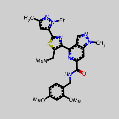 CCn1nc(C)cc1-c1nc(-c2nc(C(=O)NCc3ccc(OC)cc3OC)cc3c2cnn3C)c(CNC)s1